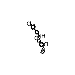 O=C(COc1ccc(CN2CCCC2)c(Cl)c1)Nc1ccc(-c2ccc(Cl)cc2)cc1